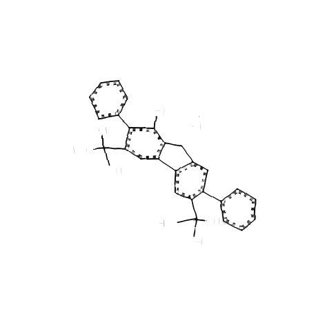 CC(C)(C)c1cc2c(cc1-c1ccccc1)Cc1c-2cc(C(C)(C)C)c(-c2ccccc2)[c]1[Hf+2].[Cl-].[Cl-]